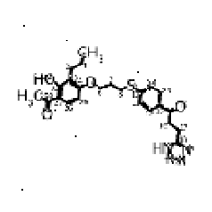 CCCc1c(OCCCSc2ccc(C(=O)CCc3nnn[nH]3)cc2)ccc(C(C)=O)c1O